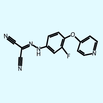 N#CC(C#N)=NNc1ccc(Oc2ccncc2)c(F)c1